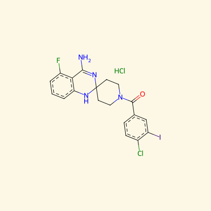 Cl.NC1=NC2(CCN(C(=O)c3ccc(Cl)c(I)c3)CC2)Nc2cccc(F)c21